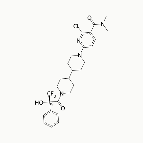 CN(C)C(=O)c1ccc(N2CCC(C3CCN(C(=O)[C@@](O)(c4ccccc4)C(F)(F)F)CC3)CC2)nc1Cl